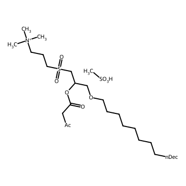 CCCCCCCCCCCCCCCCCCOCC(CS(=O)(=O)CCC[N+](C)(C)C)OC(=O)CC(C)=O.CS(=O)(=O)O